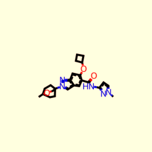 Cn1ccc(NC(=O)c2cc3cn(C45CCC(C)(CC4)OC5)nc3cc2OC2CCC2)n1